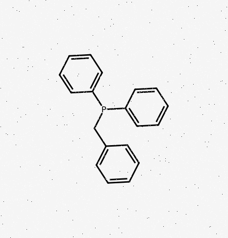 c1ccc(CP(c2ccccc2)c2ccccc2)cc1